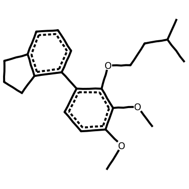 COc1ccc(-c2cccc3c2CCC3)c(OCCC(C)C)c1OC